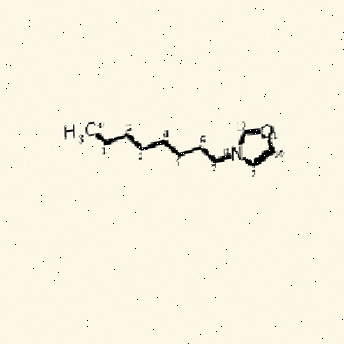 CCCCCCCCN1C=COC1